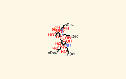 CCCCCCCCCCC[C@@H](O)CC(=O)N[C@H]1[C@H](OC[C@H]2OC(O)[C@H](NC(=O)C[C@H](O)CCCCCCCCCCC)[C@@H](OC(=O)C[C@H](O)CCCCCCCCCCC)[C@@H]2O)O[C@H](CO)[C@@H](OP(=O)(O)O)[C@@H]1OC(=O)C[C@H](O)CCCCCCCCCCC